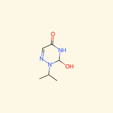 CC(C)N1N=CC(=O)NC1O